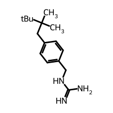 CC(C)(C)C(C)(C)Cc1ccc(CNC(=N)N)cc1